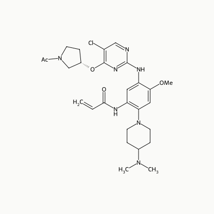 C=CC(=O)Nc1cc(Nc2ncc(Cl)c(O[C@H]3CCN(C(C)=O)C3)n2)c(OC)cc1N1CCC(N(C)C)CC1